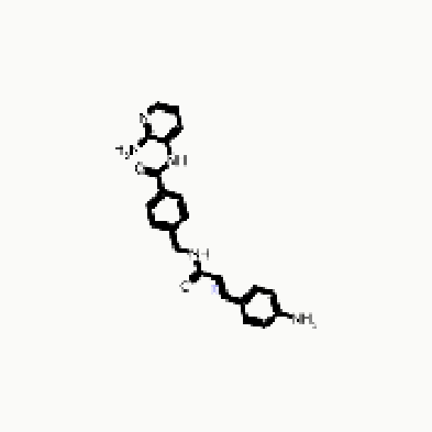 Nc1ccc(/C=C/C(=O)NCc2ccc(C(=O)Nc3cccnc3N)cc2)cc1